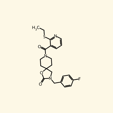 CCSc1ncccc1C(=O)N1CCC2(CC1)CN(Cc1ccc(F)cc1)C(=O)O2